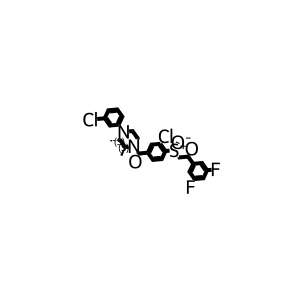 C[C@H]1[C@H](C)N(c2cccc(Cl)c2)CCN1C(=O)c1ccc([S+]([O-])CC(=O)c2cc(F)cc(F)c2)c(Cl)c1